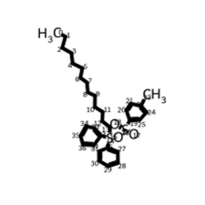 CCCCCCCCCCCCCCS(OS(=O)(=O)c1ccc(C)cc1)(c1ccccc1)c1ccccc1